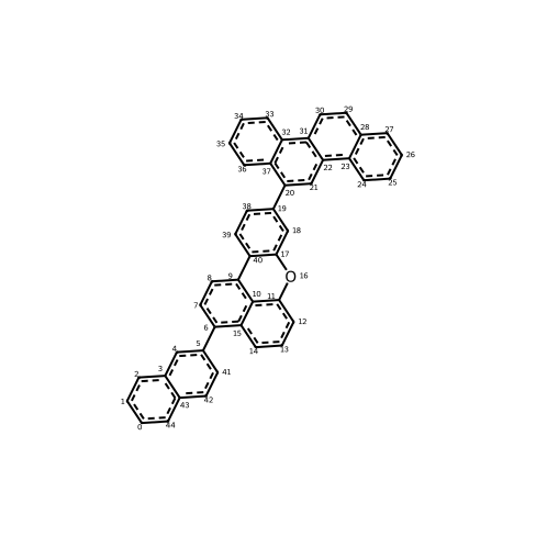 c1ccc2cc(-c3ccc4c5c(cccc35)Oc3cc(-c5cc6c7ccccc7ccc6c6ccccc56)ccc3-4)ccc2c1